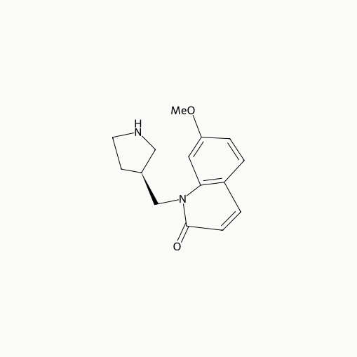 COc1ccc2ccc(=O)n(C[C@H]3CCNC3)c2c1